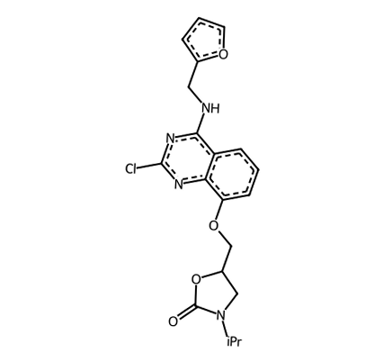 CC(C)N1CC(COc2cccc3c(NCc4ccco4)nc(Cl)nc23)OC1=O